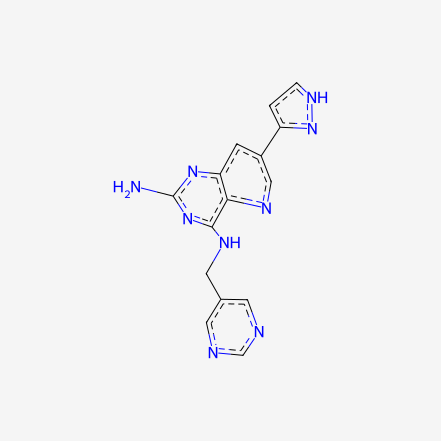 Nc1nc(NCc2cncnc2)c2ncc(-c3cc[nH]n3)cc2n1